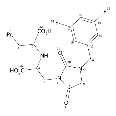 CC(C)CC(NC(CN1C(=O)CN(Cc2cc(F)cc(F)c2)C1=O)C(=O)O)C(=O)O